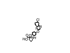 O=C(O)[C@]1(Oc2ccc(Oc3cnc4cc(Cl)ccc4n3)cc2)CCCN1